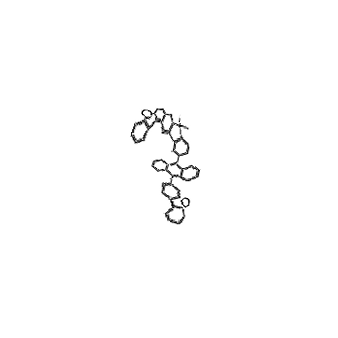 CC1(C)c2ccc(-c3c4ccccc4c(-c4ccc5c(c4)oc4ccccc45)c4ccccc34)cc2-c2cc3c(ccc4oc5ccccc5c43)cc21